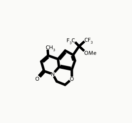 COC(c1cc2c3c(c1)c(C)cc(=O)n3CCO2)(C(F)(F)F)C(F)(F)F